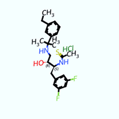 CCc1cccc(C(C)(C)NC[C@@H](O)[C@H](Cc2cc(F)cc(F)c2)NC(C)=S)c1.Cl